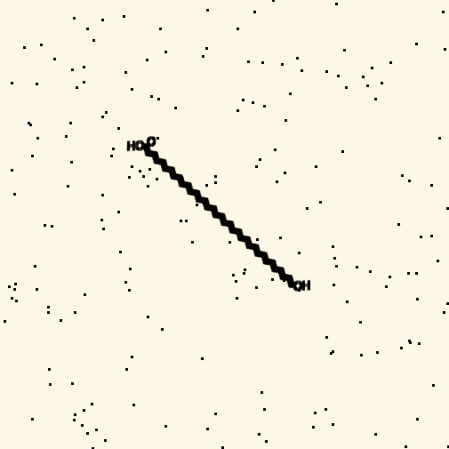 O=C(O)CCCCCCCCCCCCCCCCCCCCCCCCCCCCCCCCCCCO